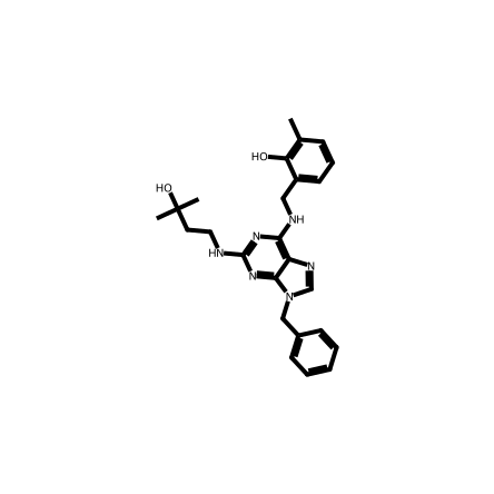 Cc1cccc(CNc2nc(NCCC(C)(C)O)nc3c2ncn3Cc2ccccc2)c1O